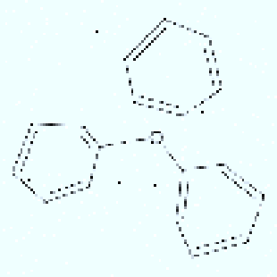 c1ccc(Oc2ccccc2)cc1.c1ccccc1